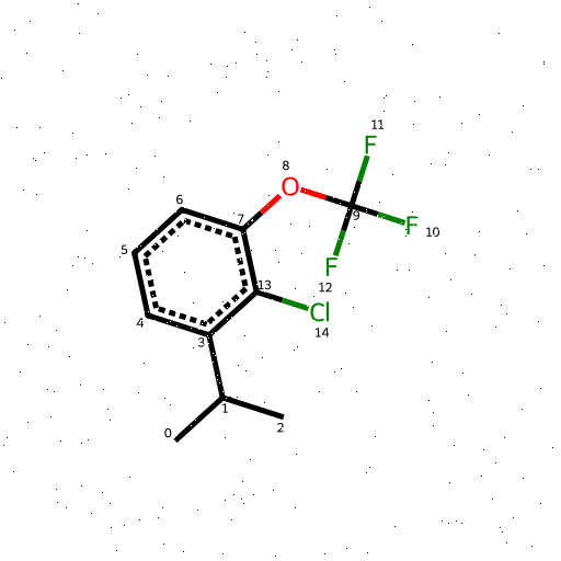 C[C](C)c1cccc(OC(F)(F)F)c1Cl